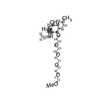 COCCOCCOCCOCCOCCO[C@@H]1c2ccc(C)cc2[C@]2(C)CCN(CC3CC3)[C@H]1[C@@H]2C